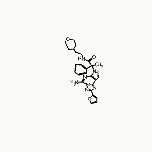 CC(C(=O)NCCC1CCOCC1)(c1ccccc1)n1ncc2c1nc(N)n1nc(-c3ccco3)nc21